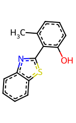 Cc1cccc(O)c1-c1nc2ccccc2s1